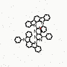 c1ccc(-c2nc(-n3c4ccccc4c4ccc5c(c6ccccc6n5-c5ccccc5)c43)nc3nc(-n4c5ccccc5c5ccc6c7ccccc7n(-c7ccccc7)c6c54)ncc23)cc1